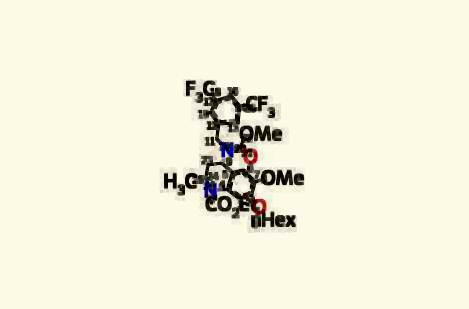 CCCCCCOc1cc2c(cc1OC)[C@@H](N(Cc1cc(C(F)(F)F)cc(C(F)(F)F)c1)C(=O)OC)C[C@@H](C)N2C(=O)OCC